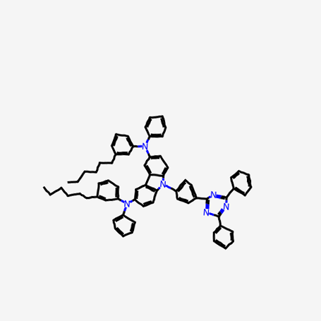 CCCCCCc1cccc(N(c2ccccc2)c2ccc3c(c2)c2cc(N(c4ccccc4)c4cccc(CCCCCC)c4)ccc2n3-c2ccc(-c3nc(-c4ccccc4)nc(-c4ccccc4)n3)cc2)c1